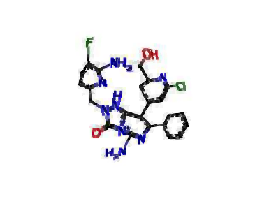 Nc1nc(Cn2[nH]c3c(-c4cc(Cl)nc(CO)c4)c(-c4ccccc4)nc(N)[n+]3c2=O)ccc1F